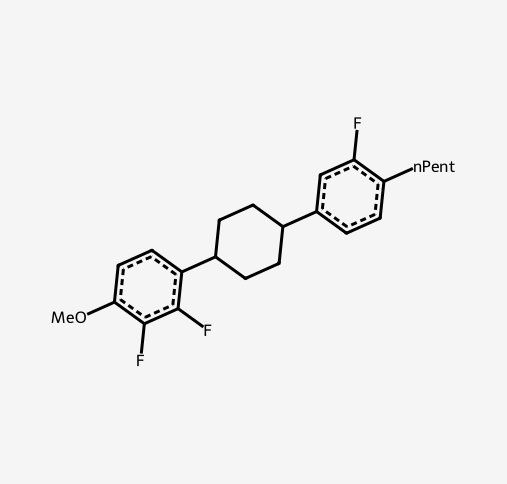 CCCCCc1ccc(C2CCC(c3ccc(OC)c(F)c3F)CC2)cc1F